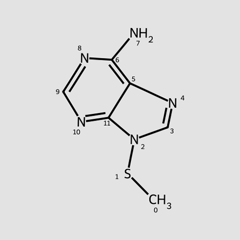 CSn1cnc2c(N)ncnc21